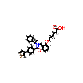 [2H]C([2H])(c1ccccc1)N(Cc1ccccc1OCCCCCC(=O)O)C(=O)c1ccc(-c2ccsc2)cc1